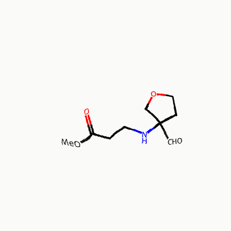 COC(=O)CCNC1(C=O)CCOC1